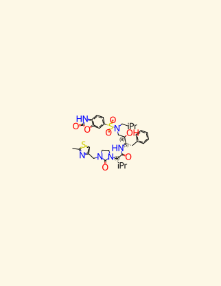 Cc1nc(CN2CCN([C@H](C(=O)N[C@@H](Cc3ccccc3)[C@H](O)CN(CC(C)C)S(=O)(=O)c3ccc4[nH]c(=O)oc4c3)C(C)C)C2=O)cs1